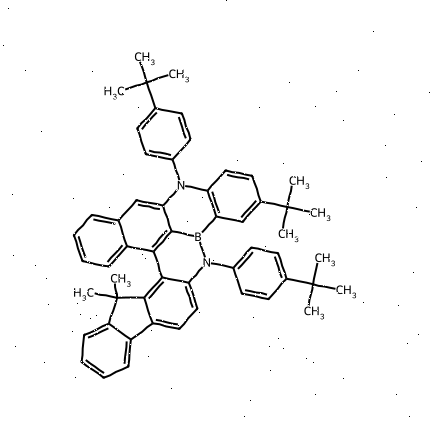 CC(C)(C)c1ccc(N2B3c4cc(C(C)(C)C)ccc4N(c4ccc(C(C)(C)C)cc4)c4cc5ccccc5c(c43)-c3c2ccc2c3C(C)(C)c3ccccc3-2)cc1